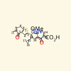 COc1c(-c2cc3c(s2)CCC(C)C3=O)c(C2CC2)cc2c(=O)c(C(=O)O)c[nH]c12